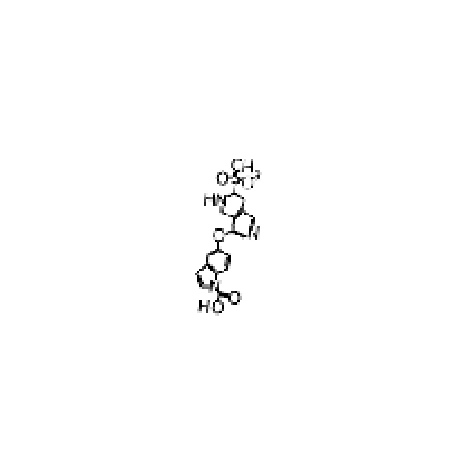 CS(=O)(=O)C1Cc2cncc(Oc3ccc4c(ccn4C(=O)O)c3)c2CN1